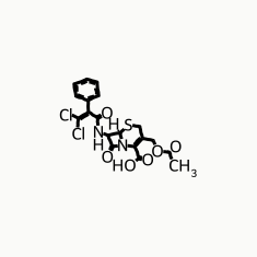 CC(=O)OCC1=C(C(=O)O)N2C(=O)C(NC(=O)C(=C(Cl)Cl)c3ccccc3)[C@H]2SC1